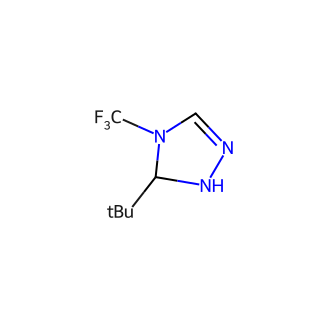 CC(C)(C)C1NN=CN1C(F)(F)F